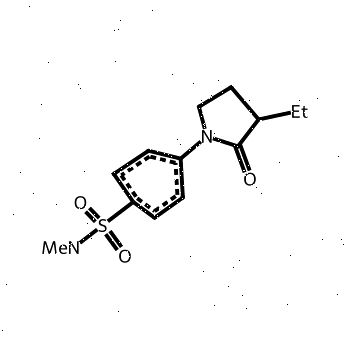 CCC1CCN(c2ccc(S(=O)(=O)NC)cc2)C1=O